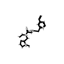 C=Cc1ccnc(CNCC(=O)N(CC)CC2CCCN2C)c1